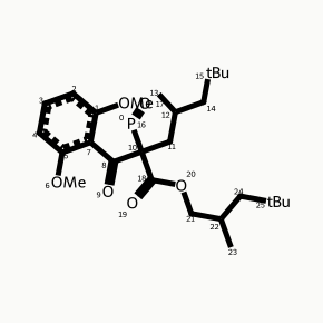 COc1cccc(OC)c1C(=O)C(CC(C)CC(C)(C)C)(P=O)C(=O)OCC(C)CC(C)(C)C